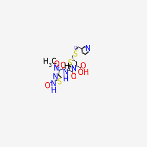 CO/N=C(\C(=O)NC1C(=O)N2C(C(=O)O)=CC(CS/C=C\c3cccnc3)S[C@H]12)c1csc(NC=O)n1